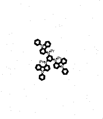 CC(C)N(c1cc(N(c2cccc3c2c2ccccc2n3-c2ccccc2)C(C)C)cc(N(c2cccc3c2c2ccccc2n3-c2ccccc2)C(C)C)c1)c1cccc2c1c1ccccc1n2-c1ccccc1